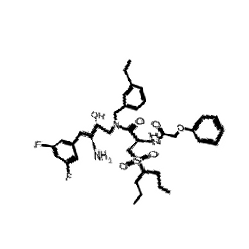 CCCC(CCC)S(=O)(=O)C[C@H](NC(=O)COc1ccccc1)C(=O)N(Cc1cccc(CC)c1)C[C@@H](O)[C@@H](N)Cc1cc(F)cc(F)c1